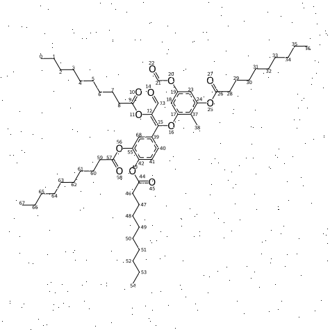 CCCCCCCCCC(=O)O/C(C=O)=C(/Oc1cc(OC=O)cc(OC(=O)CCCCCCCCC)c1C)c1ccc(OC(=O)CCCCCCCCC)c(OC(=O)CCCCCCCCC)c1